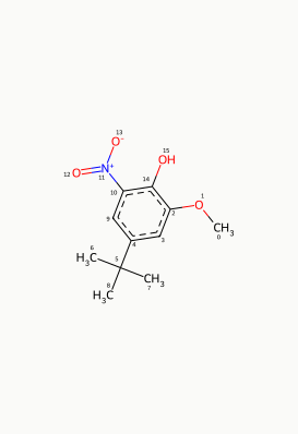 COc1cc(C(C)(C)C)cc([N+](=O)[O-])c1O